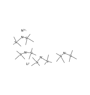 C[Si](C)(C)[N-][Si](C)(C)C.C[Si](C)(C)[N-][Si](C)(C)C.C[Si](C)(C)[N-][Si](C)(C)C.C[Si](C)(C)[N-][Si](C)(C)C.[Li+].[N+3]